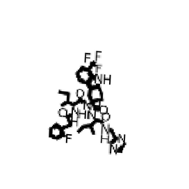 CCC(C)[C@H](NC(=O)Cc1ccccc1F)C(=O)N[C@]1(C(=O)N[C@H](C(=O)NCc2cnccn2)C(C)CC)CCc2[nH]c3c(C(F)(F)F)cccc3c2C1